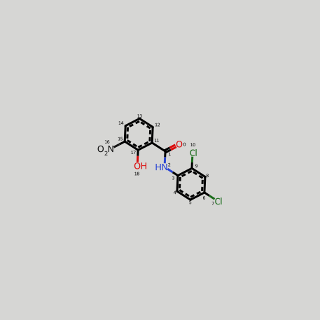 O=C(Nc1ccc(Cl)cc1Cl)c1cccc([N+](=O)[O-])c1O